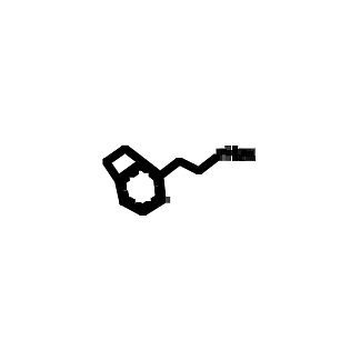 CCCCCCCCc1[c]ccc2c1CC2